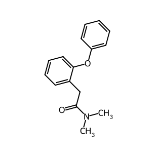 CN(C)C(=O)Cc1ccccc1Oc1ccccc1